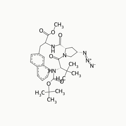 COC(=O)C(Cc1ccc2ccccc2c1)NC(=O)[C@@H]1C[C@H](N=[N+]=[N-])CN1C(=O)[C@@H](NC(=O)OC(C)(C)C)C(C)(C)C